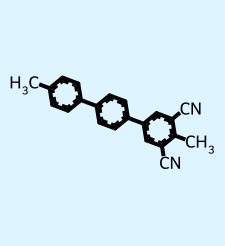 Cc1ccc(-c2ccc(-c3cc(C#N)c(C)c(C#N)c3)cc2)cc1